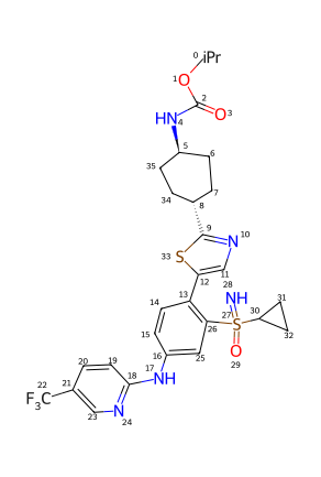 CC(C)OC(=O)N[C@H]1CC[C@H](c2ncc(-c3ccc(Nc4ccc(C(F)(F)F)cn4)cc3S(=N)(=O)C3CC3)s2)CC1